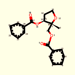 C[C@]1(COC(=O)c2ccccc2)OCC[C@@H]1OC(=O)c1ccccc1